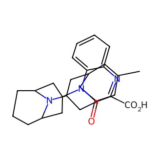 CC1CC2CC(C1)CC(N1C3CCCC1CC(n1c(=O)c(C(=O)O)nc4ccccc41)C3)C2